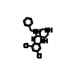 Clc1cc(Cl)c2c(c1)NC1(CCNCC1)C(NCc1ccccc1)=N2